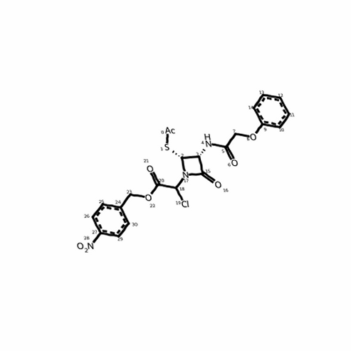 CC(=O)S[C@@H]1[C@H](NC(=O)COc2ccccc2)C(=O)N1C(Cl)C(=O)OCc1ccc([N+](=O)[O-])cc1